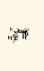 CCN(CCCNS(=O)(=O)Cc1ccccc1)Cc1cccc(Oc2ccccc2OC)c1